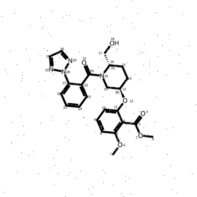 COC(=O)c1c(OC)cccc1O[C@@H]1CC[C@@H](CO)N(C(=O)c2ccccc2-n2nccn2)C1